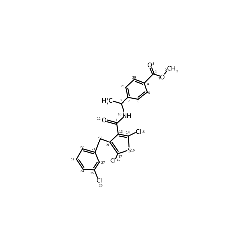 COC(=O)c1ccc(C(C)NC(=O)c2c(Cl)sc(Cl)c2Cc2cccc(Cl)c2)cc1